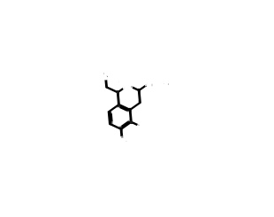 CCCCCCC1Cc2c(ccc(O)c2O)C(CN)O1